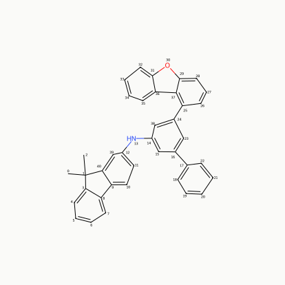 CC1(C)c2ccccc2-c2ccc(Nc3cc(-c4ccccc4)cc(-c4cccc5oc6ccccc6c45)c3)cc21